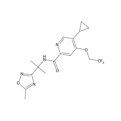 Cc1nc(C(C)(C)NC(=O)c2cc(OCC(F)(F)F)c(C3CC3)cn2)no1